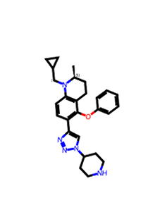 C[C@H]1CCc2c(ccc(-c3cn(C4CCNCC4)nn3)c2Oc2ccccc2)N1[C]C1CC1